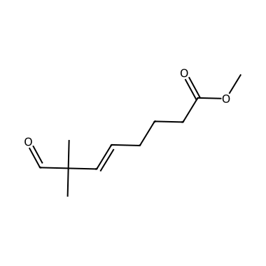 COC(=O)CCCC=CC(C)(C)C=O